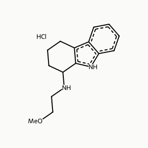 COCCNC1CCCc2c1[nH]c1ccccc21.Cl